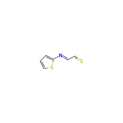 S=CC=Nc1cccs1